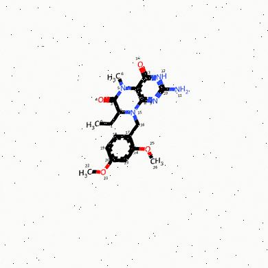 CCC1C(=O)N(C)c2c(nc(N)[nH]c2=O)N1Cc1ccc(OC)cc1OC